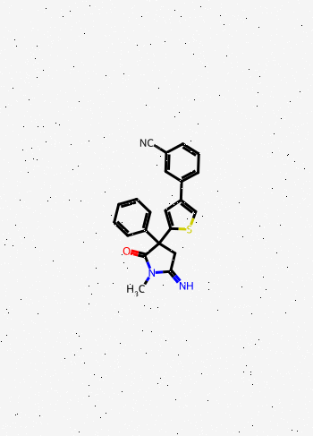 CN1C(=N)CC(c2ccccc2)(c2cc(-c3cccc(C#N)c3)cs2)C1=O